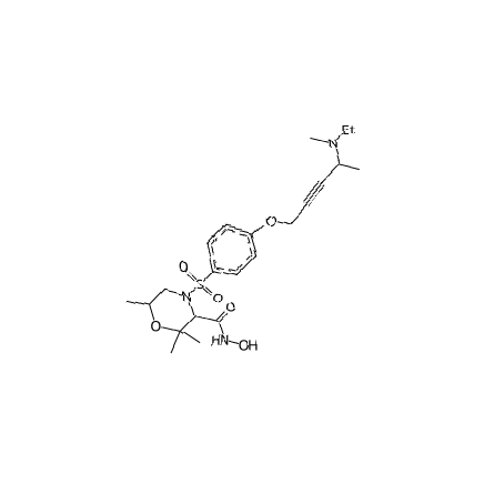 CCN(C)C(C)C#CCOc1ccc(S(=O)(=O)N2CC(C)OC(C)(C)C2C(=O)NO)cc1